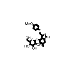 COc1ccc(SCc2n[nH]c3cc(C)cc(OC4OC(CO)C(O)C(O)C4O)c23)cc1